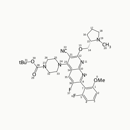 COc1cccc(F)c1-c1nc2nc(OC[C@@H]3CCCN3C)c(C#N)c(N3CCN(C(=O)OC(C)(C)C)CC3)c2cc1F